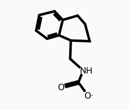 [O]C(=O)NCC1CCCc2ccccc21